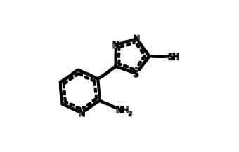 Nc1ncccc1-c1nnc(S)s1